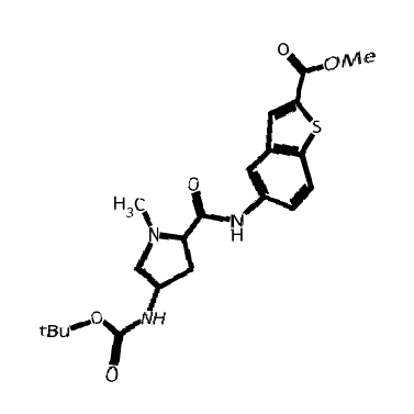 COC(=O)c1cc2cc(NC(=O)C3CC(NC(=O)OC(C)(C)C)CN3C)ccc2s1